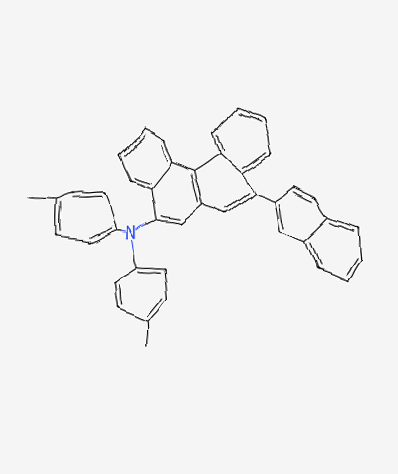 Cc1ccc(N(c2ccc(C)cc2)c2cc3cc(-c4ccc5ccccc5c4)c4ccccc4c3c3ccccc23)cc1